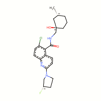 C[C@@H]1CCC[C@](O)(CNC(=O)c2c(Cl)ccc3nc(N4CC[C@H](F)C4)ccc23)C1